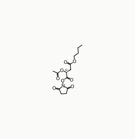 CCCCOC(=O)C[C@H](OC(C)=O)C(=O)ON1C(=O)CCC1=O